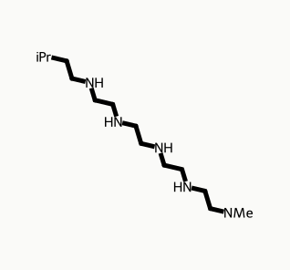 CNCCNCCNCCNCCNCCC(C)C